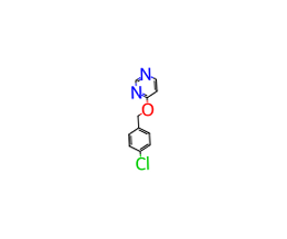 Clc1ccc(COc2ccncn2)cc1